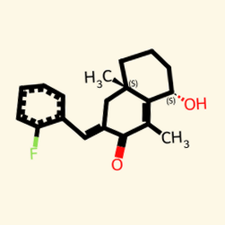 CC1=C2[C@@H](O)CCC[C@@]2(C)CC(=Cc2ccccc2F)C1=O